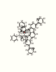 CN1C(c2ccccc2)C=C(c2ccccc2)NC1n1c2ccc(-c3ccccn3)cc2c2ccc3c4cc(-c5ccccn5)ccc4n(-c4ccccc4)c3c21